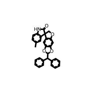 Cc1ccc2c(c1)C1(COc3cc4c(cc31)OC(C(c1ccccc1)c1ccccc1)O4)C(=O)N2